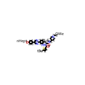 CCCCCCCOc1ccc(-c2cnc(-c3ccc(C[C@H](NC(=O)c4ccc(C(C)(C)C)s4)C(=O)N(C)CC4CCN(CCOC)CC4)cc3)nc2)cc1